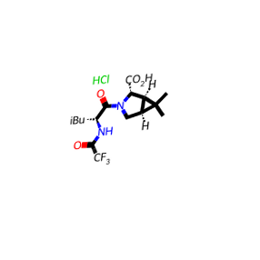 CC[C@@H](C)[C@H](NC(=O)C(F)(F)F)C(=O)N1C[C@H]2[C@@H]([C@H]1C(=O)O)C2(C)C.Cl